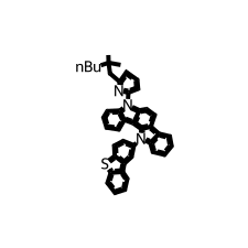 CCCCC(C)(C)Cc1cccc(-n2c3ccccc3c3c2ccc2c4ccccc4n(-c4ccc5sc6ccccc6c5c4)c23)n1